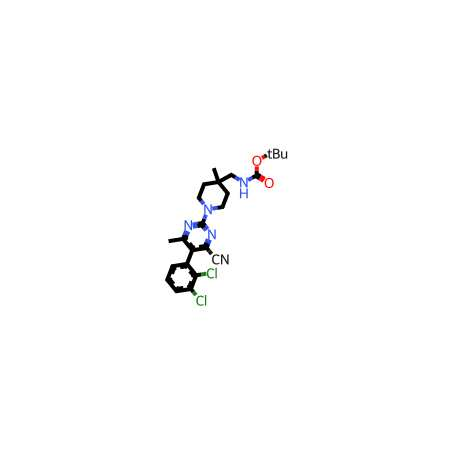 Cc1nc(N2CCC(C)(CNC(=O)OC(C)(C)C)CC2)nc(C#N)c1-c1cccc(Cl)c1Cl